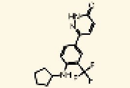 O=c1ccc(-c2ccc(NC3CCCC3)c(C(F)(F)F)c2)n[nH]1